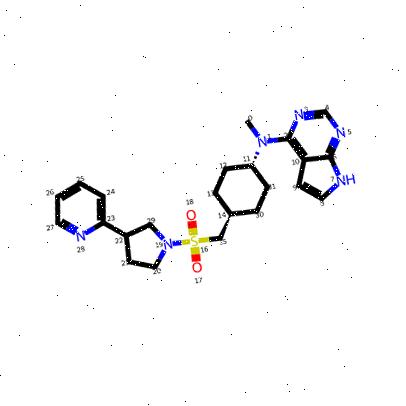 CN(c1ncnc2[nH]ccc12)[C@H]1CC[C@H](CS(=O)(=O)N2CCC(c3ccccn3)C2)CC1